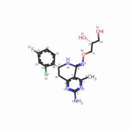 Cc1nc(N)nc2c1/C(=N/OC[C@H](O)CO)N[C@@H](c1ccc(F)cc1Br)C2